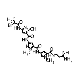 C=C(Br)C(=O)Nc1cc(C(=O)Nc2cc(C(=O)Nc3cc(C(=O)NCCC(=N)N)n(C)c3)n(C)n2)n(C)n1